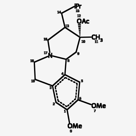 COc1cc2c(cc1OC)C1C[C@@](C)(OC(C)=O)C(CC(C)C)CN1CC2